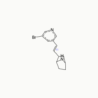 Brc1cncc(/C=C/C2CC3CCC2N3)c1